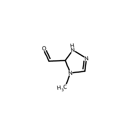 CN1C=NNC1C=O